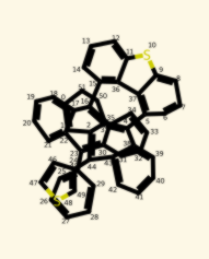 C1=Cc2c(c(-c3cccc4sc5cccc(-c6c7ccccc7c(-c7ccccc7)c7ccccc67)c5c34)c3ccccc3c2-c2ccsc2)CC1